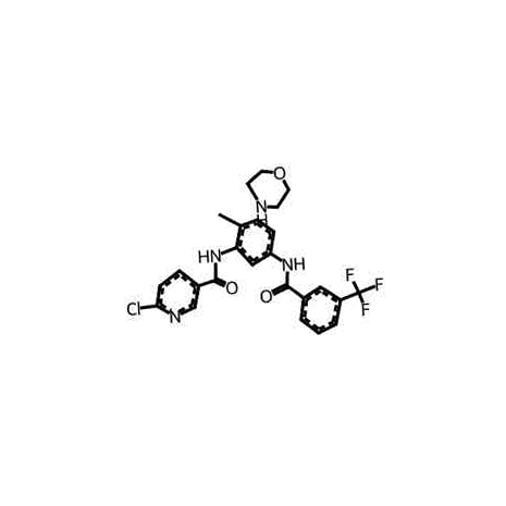 C1COCCN1.Cc1ccc(NC(=O)c2cccc(C(F)(F)F)c2)cc1NC(=O)c1ccc(Cl)nc1